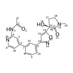 CC(=O)Nc1cc(-c2cccc(-c3cc([C@]4(O)CCN(C)C4=O)on3)c2)ccn1